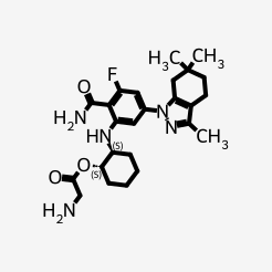 Cc1nn(-c2cc(F)c(C(N)=O)c(N[C@H]3CCCC[C@@H]3OC(=O)CN)c2)c2c1CCC(C)(C)C2